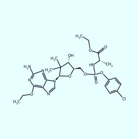 CCOC(=O)[C@H](C)NP(=O)(OC[C@H]1O[C@@H](n2cnc3c(OCC)nc(N)nc32)C(C)(C)[C@@H]1O)Oc1ccc(Cl)cc1